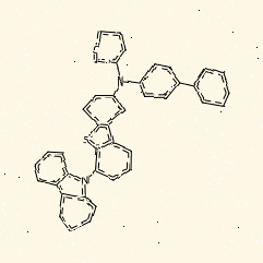 c1ccc(-c2ccc(N(c3ccccc3)c3ccc4sc5c(-n6c7ccccc7c7ccccc76)cccc5c4c3)cc2)cc1